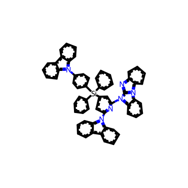 c1ccc([Si](c2ccccc2)(c2ccc(-n3c4ccccc4c4ccccc43)cc2)c2cc(-n3c4ccccc4c4ccccc43)nc(-n3c4ccccc4n4c5ccccc5nc34)c2)cc1